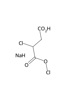 O=C(O)CC(Cl)C(=O)OCl.[NaH]